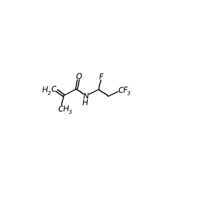 C=C(C)C(=O)NC(F)CC(F)(F)F